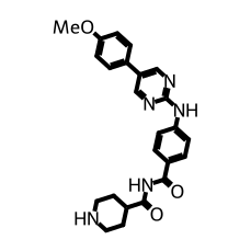 COc1ccc(-c2cnc(Nc3ccc(C(=O)NC(=O)C4CCNCC4)cc3)nc2)cc1